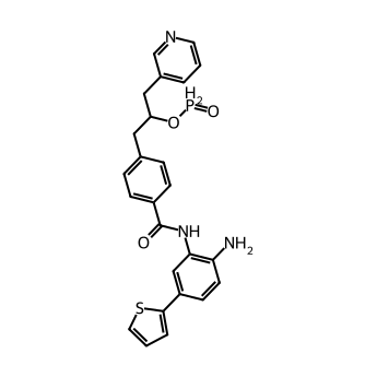 Nc1ccc(-c2cccs2)cc1NC(=O)c1ccc(CC(Cc2cccnc2)O[PH2]=O)cc1